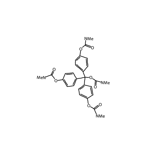 CNC(=O)Oc1ccc(C(OC(=O)NC)(c2ccc(OC(=O)NC)cc2)c2ccc(OC(=O)NC)cc2)cc1